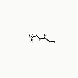 CCNCC[SH](=O)=O